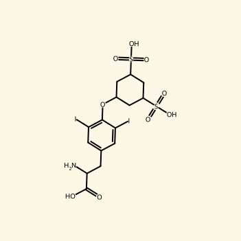 NC(Cc1cc(I)c(OC2CC(S(=O)(=O)O)CC(S(=O)(=O)O)C2)c(I)c1)C(=O)O